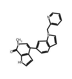 Cn1cc(-c2ccc3ccn(Cc4ccccn4)c3c2)c2cc[nH]c2c1=O